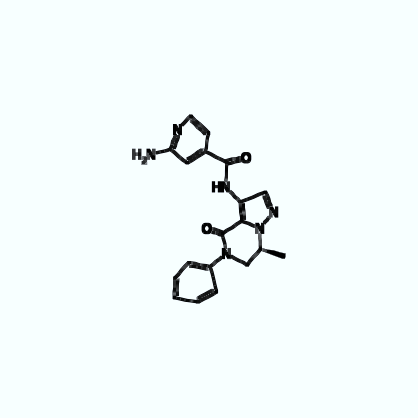 C[C@H]1CN(c2ccccc2)C(=O)c2c(NC(=O)c3ccnc(N)c3)cnn21